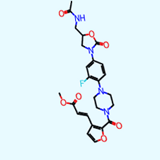 COC(=O)C=Cc1ccoc1C(=O)N1CCN(c2ccc(N3CC(CNC(C)=O)OC3=O)cc2F)CC1